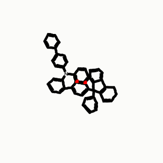 C1=CC2=C(CC1)c1ccccc1C2(c1ccccc1)c1ccc(-c2ccccc2N(c2ccccc2)c2ccc(-c3ccccc3)cc2)cc1